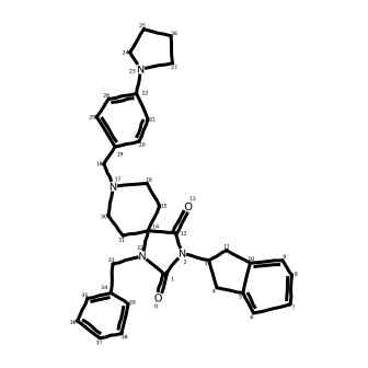 O=C1N(C2Cc3ccccc3C2)C(=O)C2(CCN(Cc3ccc(N4CCCC4)cc3)CC2)N1Cc1ccccc1